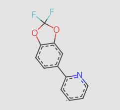 FC1(F)Oc2ccc(-c3c[c]ccn3)cc2O1